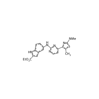 CCOC(=O)c1cc2cc(Nc3nccc(-c4nc(NC)sc4C)n3)ccc2[nH]1